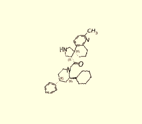 Cc1ccc2c(n1)CCC[C@]21CNC[C@H]1C(=O)N1CC[C@@H](c2ccccc2)C[C@@H]1C1CCCCC1